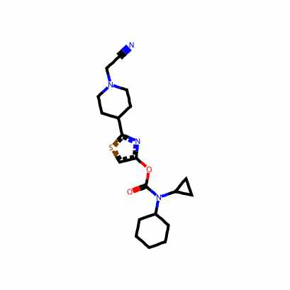 N#CCN1CCC(c2nc(OC(=O)N(C3CCCCC3)C3CC3)cs2)CC1